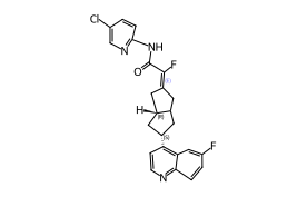 O=C(Nc1ccc(Cl)cn1)/C(F)=C1/CC2C[C@H](c3ccnc4ccc(F)cc34)C[C@@H]2C1